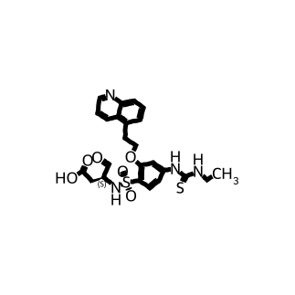 CCNC(=S)Nc1ccc(S(=O)(=O)N[C@H](C=O)CC(=O)O)c(OCCc2cccc3ncccc23)c1